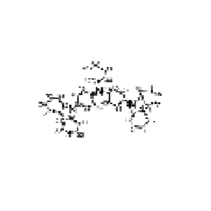 c1ccc2c(c1)c1ccccc1n2-c1ccc(N(c2ccc(-n3c4ccccc4c4ccccc43)cc2)C2CCCCC2)cc1